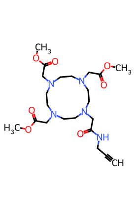 C#CCNC(=O)CN1CCN(CC(=O)OC)CCN(CC(=O)OC)CCN(CC(=O)OC)CC1